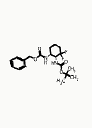 CC(C)(C)OC(=O)N[C@@H]1[C@H](NC(=O)OCc2ccccc2)CCCC1(F)F